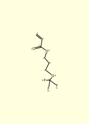 C=CC(=O)OCCCOC(F)(F)F